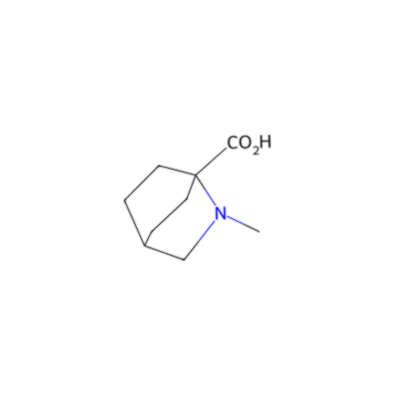 CN1CC2CCC1(C(=O)O)CC2